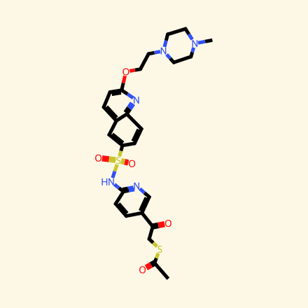 CC(=O)SCC(=O)c1ccc(NS(=O)(=O)c2ccc3nc(OCCN4CCN(C)CC4)ccc3c2)nc1